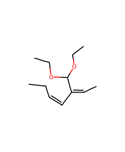 C/C=C(/C=C\CC)C(OCC)OCC